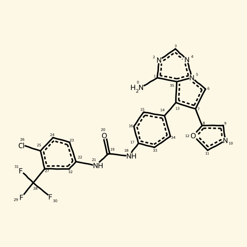 Nc1ncnn2cc(-c3cnco3)c(-c3ccc(NC(=O)Nc4ccc(Cl)c(C(F)(F)F)c4)cc3)c12